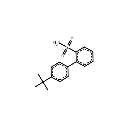 CC(C)(C)c1ccc(-c2ccccc2S(N)(=O)=O)cc1